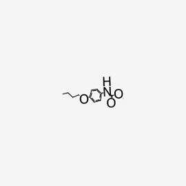 CCCCOc1ccc(NC(=O)OC)cc1